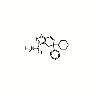 NC(=O)n1n[c]c2c1CC(c1ccccc1)(C1CCCCC1)C=C2